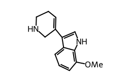 COc1cccc2c(C3=CCCNC3)c[nH]c12